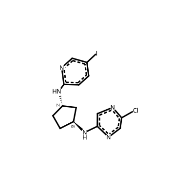 Clc1cnc(N[C@H]2CC[C@H](Nc3ccc(I)cn3)C2)cn1